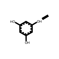 C=C.Oc1cc(O)cc(O)c1